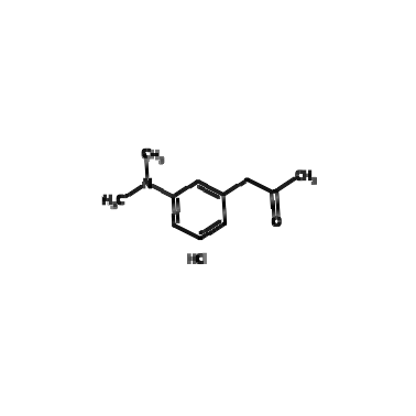 CC(=O)Cc1cccc(N(C)C)c1.Cl